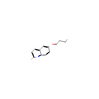 CCCCOc1ccc2nc(O)ccc2c1